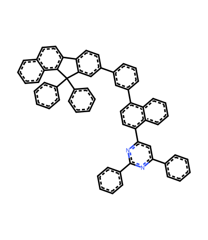 c1ccc(-c2cc(-c3ccc(-c4cccc(-c5ccc6c(c5)C(c5ccccc5)(c5ccccc5)c5c-6ccc6ccccc56)c4)c4ccccc34)nc(-c3ccccc3)n2)cc1